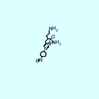 NCCCC(Cc1cn(C2CCC(N=O)CC2)cn1)C(=O)ON